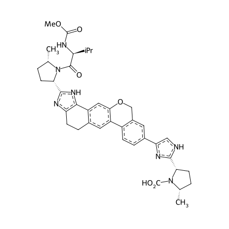 COC(=O)N[C@H](C(=O)N1[C@@H](C)CC[C@H]1c1nc2c([nH]1)-c1cc3c(cc1CC2)-c1ccc(-c2c[nH]c([C@@H]4CC[C@H](C)N4C(=O)O)n2)cc1CO3)C(C)C